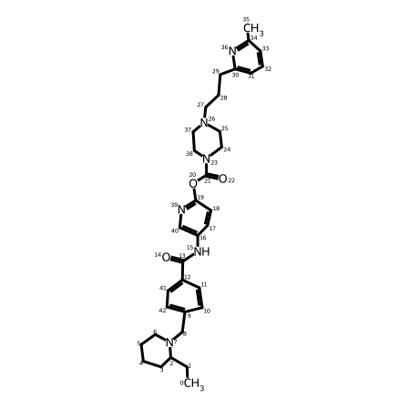 CCC1CCCCN1Cc1ccc(C(=O)Nc2ccc(OC(=O)N3CCN(CCCc4cccc(C)n4)CC3)nc2)cc1